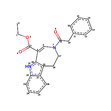 CCOC(=O)C1=CN(C(=O)Cc2ccccc2)CCc2c1[nH]c1ccccc21